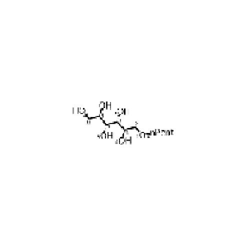 CCCCCOC[C@@H](O)[C@@H](O)[C@H](O)[C@H](O)CO